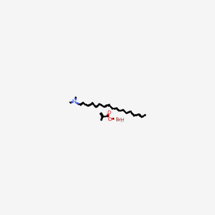 Br.C=C(C)C(=O)OC.CCCCCCCCCCCCCCCCCCN(C)C